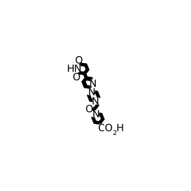 O=C1CCC(c2ccc(N3CCN(CC(=O)N4CCC(C(=O)O)CC4)CC3)nc2)C(=O)N1